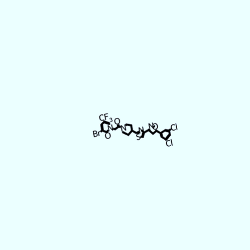 O=C(Cn1cc(C(F)(F)F)cc(Br)c1=O)N1CCC(c2nc(C3=NOC(c4cc(Cl)cc(Cl)c4)C3)cs2)CC1